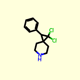 ClC1(Cl)C(c2ccccc2)C12CCNCC2